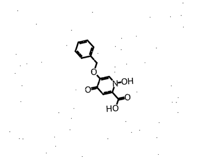 O=C(O)c1cc(=O)c(OCc2ccccc2)cn1O